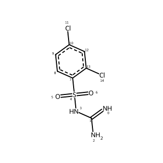 N=C(N)NS(=O)(=O)c1ccc(Cl)cc1Cl